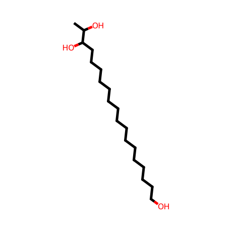 CC(O)C(O)CCCCCCCCCCCCCCCCO